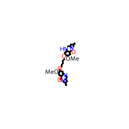 C=C1CC2C=Nc3cc(OCCCCCOc4cc5c(cc4OC)C(=O)N4CC(=C)CC4CN5)c(OC)cc3C(=O)N2C1